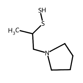 CC(CN1CCCC1)SS